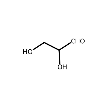 O=CC(O)[CH]O